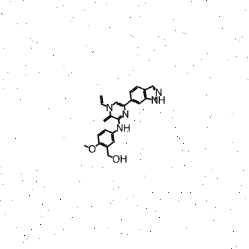 C=CN1C=C(c2ccc3cn[nH]c3c2)N=C(Nc2ccc(OC)c(CO)c2)C1=C